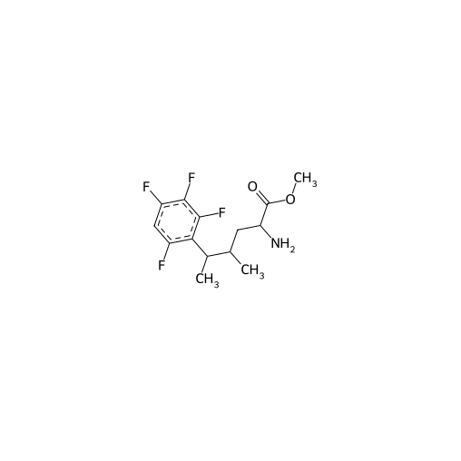 COC(=O)C(N)CC(C)C(C)c1c(F)cc(F)c(F)c1F